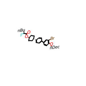 CCCCCCCCCCOc1ccc(-c2ccc([C@H]3CC[C@H](OC(=O)[C@@H](F)CCCC)CC3)cc2)cc1Br